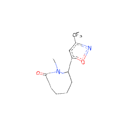 CN1C(=O)CCCCC1c1cc(C(F)(F)F)no1